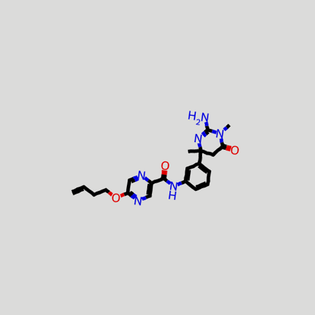 C=CCCOc1cnc(C(=O)Nc2cccc(C3(C)CC(=O)N(C)C(N)=N3)c2)cn1